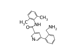 Cc1cccc(C)c1NC(=O)c1cncc(-c2ccccc2CN)c1